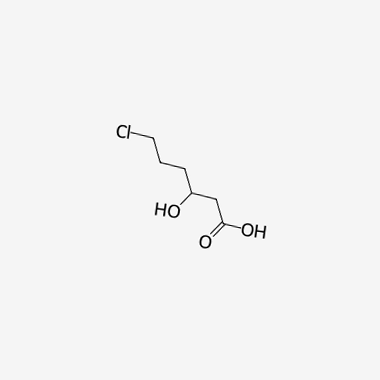 O=C(O)CC(O)CCCCl